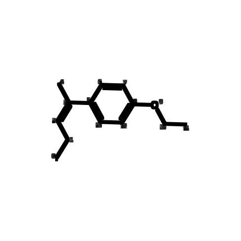 [CH2]C/C=C(/C)c1ccc(OCC)cc1